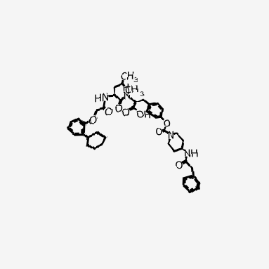 CC(C)C[C@H](NC(=O)COc1ccccc1C1CCCCC1)C(=O)N[C@@H](Cc1ccc(OC(=O)N2CCC(NC(=O)Cc3ccccc3)CC2)cc1)C(=O)O